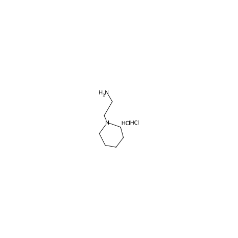 Cl.Cl.NCCN1CCCCC1